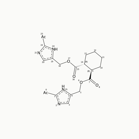 CC(=O)c1ncc(COC(=O)[C@@H]2CCCC[C@H]2C(=O)OCc2cnc(C(C)=O)[nH]2)[nH]1